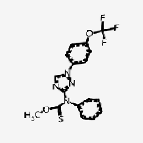 COC(=S)N(c1ccccc1)c1ncn(-c2ccc(OC(F)(F)F)cc2)n1